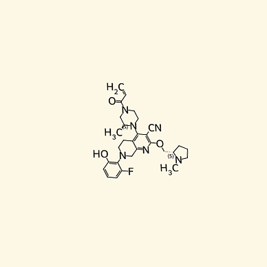 C=CC(=O)N1CCN(c2c(C#N)c(OC[C@@H]3CCCN3C)nc3c2CCN(c2c(O)cccc2F)C3)[C@@H](C)C1